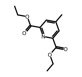 CCOC(=O)c1cc(C)cc(C(=O)OCC)n1